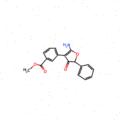 COC(=O)c1cccc(C2=C(N)OC(c3ccccc3)C2=O)c1